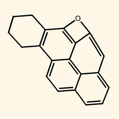 c1cc2ccc3c4c(c5c6c(cc(c1)c2c36)O5)CCCC4